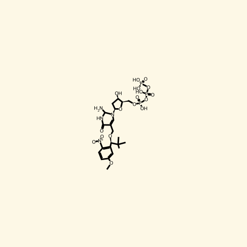 COc1ccc([N+](=O)[O-])c([C@@H](OCC2=CN([C@H]3C[C@@H](O)[C@@H](COP(=O)(O)OP(=O)(O)OP(=O)(O)O)O3)C(N)NC2=O)C(C)(C)C)c1